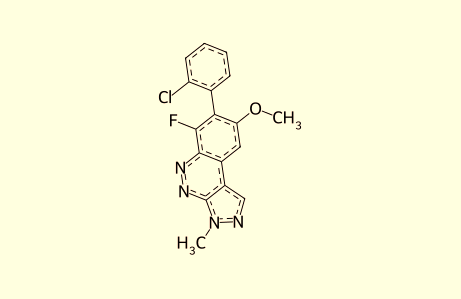 COc1cc2c(nnc3c2cnn3C)c(F)c1-c1ccccc1Cl